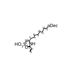 C=CC(=O)NC(CCCCCCCCCCCCCCCCCC)CS(=O)(=O)O